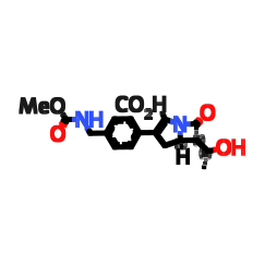 COC(=O)NCc1ccc(C2=C(C(=O)O)N3C(=O)[C@H]([C@@H](C)O)[C@H]3C2)cc1